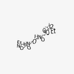 CCC(CC(C)C(=O)NCCOCCNC(=O)CCC(=O)OC1C(CC)OC(C)C1C)C(=O)N(C)C